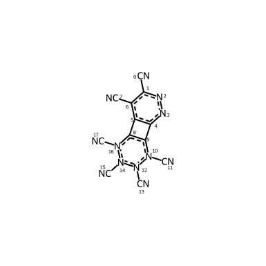 N#Cc1nnc2c(c1C#N)-c1c-2n(C#N)n(C#N)n(C#N)n1C#N